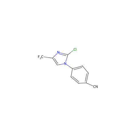 N#Cc1ccc(-n2cc(C(F)(F)F)nc2Cl)cc1